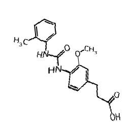 COc1cc(CCC(=O)O)ccc1NC(=O)Nc1ccccc1C